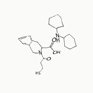 C1CCC(NC2CCCCC2)CC1.O=C(O)C1Cc2ccccc2CN1C(=O)CCS